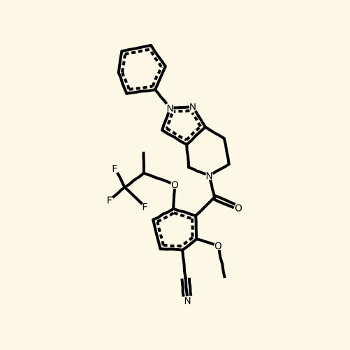 COc1c(C#N)ccc(OC(C)C(F)(F)F)c1C(=O)N1CCc2nn(-c3ccccc3)cc2C1